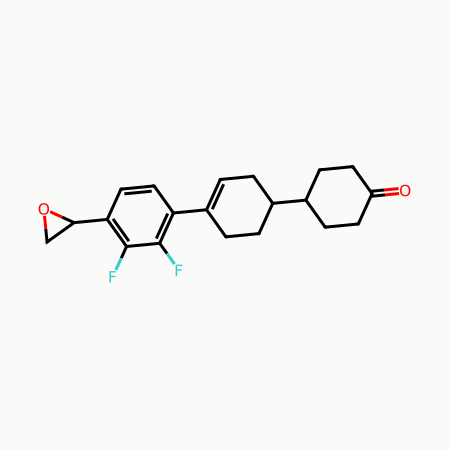 O=C1CCC(C2CC=C(c3ccc(C4CO4)c(F)c3F)CC2)CC1